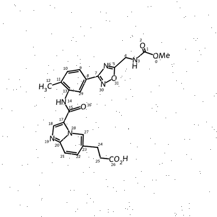 COC(=O)NCc1nc(-c2ccc(C)c(NC(=O)c3cnc4ccc(CCC(=O)O)cn34)c2)no1